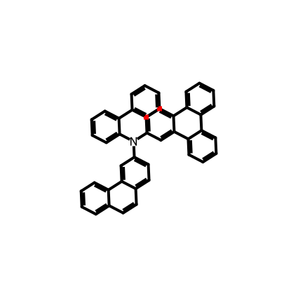 c1ccc(-c2ccccc2N(c2ccc3ccc4ccccc4c3c2)c2ccc3c4ccccc4c4ccccc4c3c2)cc1